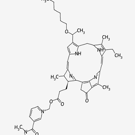 CCCCCCOC(C)c1cc2[nH]c1CC1N/C(=C\C3=NC4=C(CC(=O)C4=C3C)C3=N/C(=C\2)C(C)[C@@H]3CCC(=O)OC[n+]2cccc(C(=O)N(C)C)c2)C(CC)=C1C